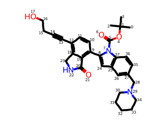 CC(C)(C)OC(=O)n1c(-c2ccc(C#CCCO)c3c2C(=O)NC3)cc2cc(CN3CCCCC3)ccc21